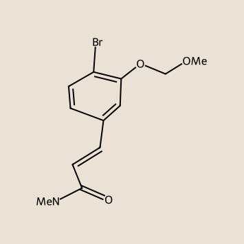 CNC(=O)/C=C/c1ccc(Br)c(OCOC)c1